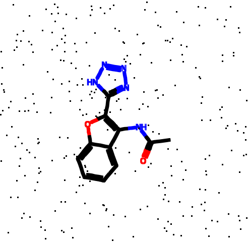 CC(=O)Nc1c(-c2nnn[nH]2)oc2ccccc12